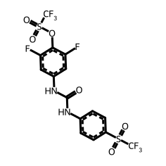 O=C(Nc1ccc(S(=O)(=O)C(F)(F)F)cc1)Nc1cc(F)c(OS(=O)(=O)C(F)(F)F)c(F)c1